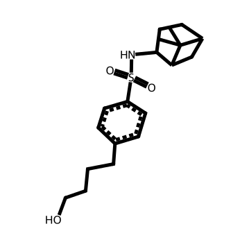 CC1(C)C2CCC(NS(=O)(=O)c3ccc(CCCCO)cc3)C1C2